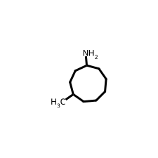 CC1CCCCCC(N)CC1